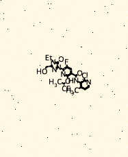 CCn1c(CO)nn(-c2nc(O[C@@H](C)C(F)(F)F)c(C(=O)Nc3c(C)ccnc3Cl)cc2F)c1=O